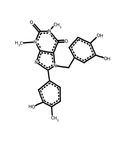 Cc1ccc(-c2nc3c(c(=O)n(C)c(=O)n3C)n2Cc2ccc(O)c(O)c2)cc1O